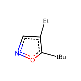 CCc1cnoc1C(C)(C)C